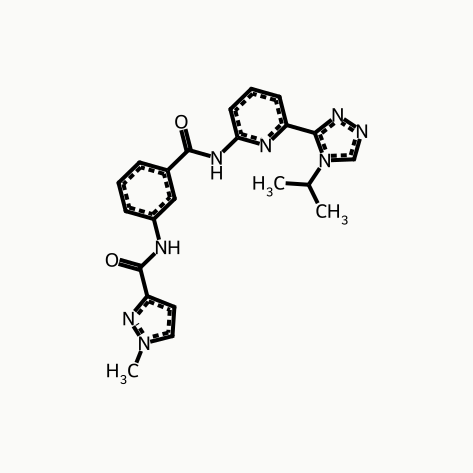 CC(C)n1cnnc1-c1cccc(NC(=O)c2cccc(NC(=O)c3ccn(C)n3)c2)n1